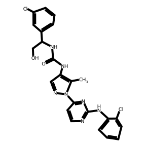 Cc1c(NC(=O)NC(CO)c2cccc(Cl)c2)cnn1-c1ccnc(Nc2ccccc2Cl)n1